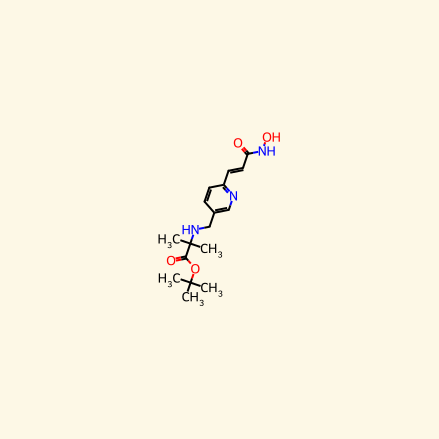 CC(C)(C)OC(=O)C(C)(C)NCc1ccc(/C=C/C(=O)NO)nc1